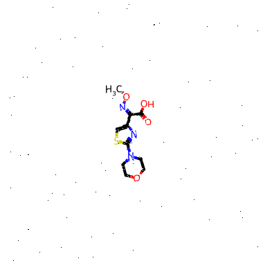 CON=C(C(=O)O)c1csc(N2CCOCC2)n1